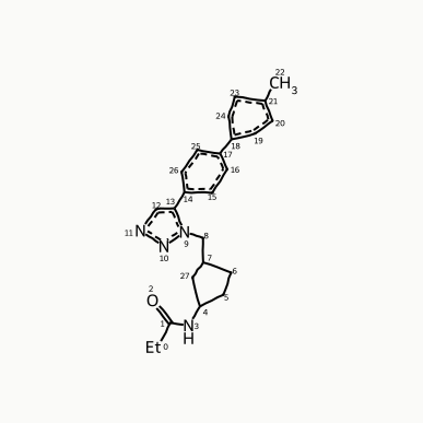 CCC(=O)NC1CCC(Cn2nncc2-c2ccc(-c3ccc(C)cc3)cc2)C1